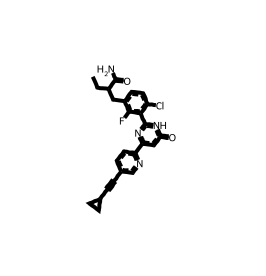 CCC(Cc1ccc(Cl)c(-c2nc(-c3ccc(C#CC4CC4)cn3)cc(=O)[nH]2)c1F)C(N)=O